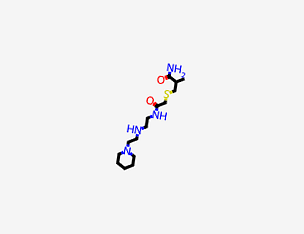 CC(CSCC(=O)NCCNCCN1CCCCC1)C(N)=O